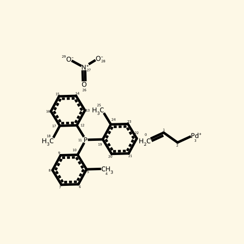 C=C[CH2][Pd+].Cc1ccccc1P(c1ccccc1C)c1ccccc1C.O=[N+]([O-])[O-]